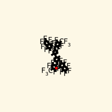 Cc1cc(N(c2c(F)c(F)c(C(F)(F)F)c(F)c2F)c2c(F)c(F)c3c(F)c(F)c(F)c(F)c3c2F)ccc1-c1ccc(N(c2c(F)c(F)c(C(F)(F)F)c(F)c2F)c2c(F)c(F)c3c(F)c(F)c(F)c(F)c3c2F)cc1C